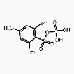 Cc1cc(C(C)C)c(S(=O)(=O)OP(=O)(O)O)c(C(C)C)c1